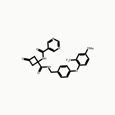 COc1ccc(Oc2ccc(CNC(=O)C3(NC(=O)c4cncnc4)CC(=O)C3)cc2)c(C(F)(F)F)c1